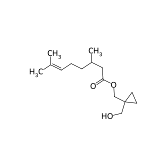 CC(C)=CCCC(C)CC(=O)OCC1(CO)CC1